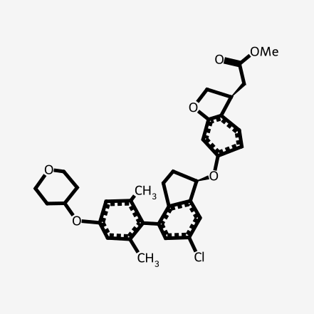 COC(=O)C[C@@H]1COc2cc(O[C@@H]3CCc4c(-c5c(C)cc(OC6CCOCC6)cc5C)cc(Cl)cc43)ccc21